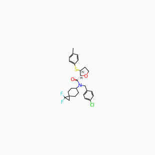 Cc1ccc(S[C@H]2CCO[C@@H]2C(=O)N(Cc2ccc(Cl)cc2)C2CCC3(CC2)CC3(F)F)cc1